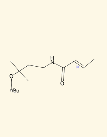 C/C=C/C(=O)NCCC(C)(C)OCCCC